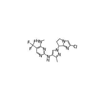 CNc1nc(Nc2cn(C3CCn4cc(Cl)nc43)nc2C)ncc1C(F)(F)F